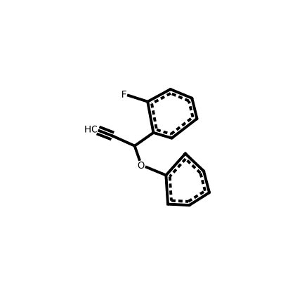 C#CC(Oc1ccccc1)c1ccccc1F